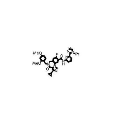 COc1ccc(CN2Cc3cc(F)c(C(=O)Nc4cccc(-c5nncn5C(C)C)n4)cc3-n3cnc(C4CC4)c3C2=O)c(OC)c1